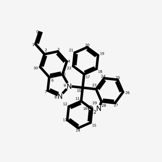 C=Cc1ccc2c(cnn2C(c2ccccc2)(c2ccccc2)c2ccccc2[N+](=O)[O-])c1